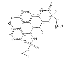 CC(CC(NS(=O)(=O)C1CC1)c1cncc(Cl)c1)C1CC(C)(CC(=O)O)C(=O)NC1c1ccc(Cl)cc1